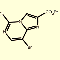 CCOC(=O)c1cn2c(Cl)ncc(Br)c2n1